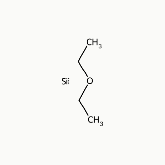 CCOCC.[Si]